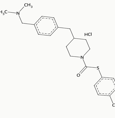 CN(C)Cc1ccc(CC2CCN(C(=O)Sc3ccc(Cl)cc3)CC2)cc1.Cl